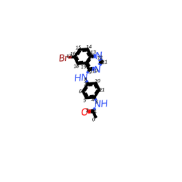 CC(=O)Nc1ccc(Nc2ncnc3ccc(Br)cc23)cc1